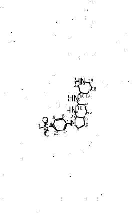 CS(=O)(=O)c1ccc(N2CCC3CCC(NC4CCCNC4)NC32)cc1